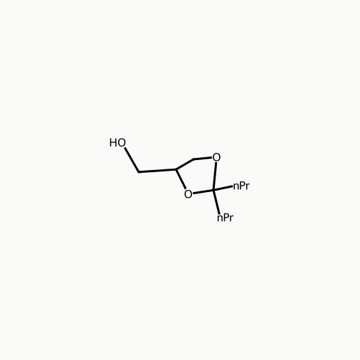 CCCC1(CCC)OCC(CO)O1